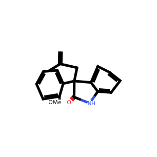 C=C(C)CC1(c2ccccc2OC)C(=O)Nc2ccccc21